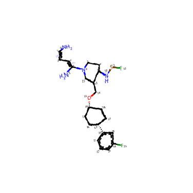 N/C=C\C=C(/N)N1CCC(NSF)C(CO[C@H]2CC[C@@H](c3cccc(F)c3)CC2)C1